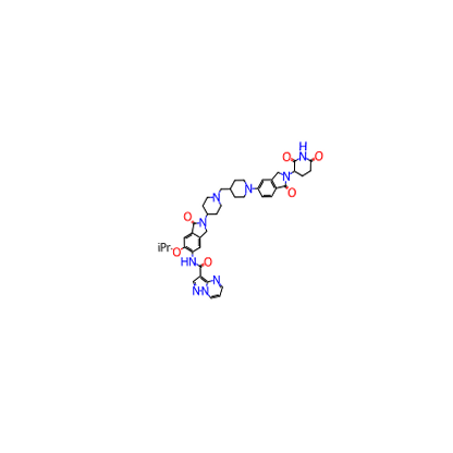 CC(C)Oc1cc2c(cc1NC(=O)c1cnn3cccnc13)CN(C1CCN(CC3CCN(c4ccc5c(c4)CN(C4CCC(=O)NC4=O)C5=O)CC3)CC1)C2=O